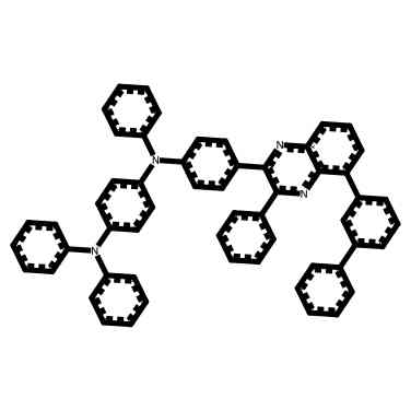 c1ccc(-c2cccc(-c3cccc4nc(-c5ccc(N(c6ccccc6)c6ccc(N(c7ccccc7)c7ccccc7)cc6)cc5)c(-c5ccccc5)nc34)c2)cc1